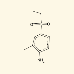 CCS(=O)(=O)c1ccc(N)c(C)c1